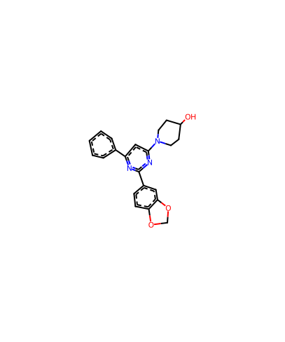 OC1CCN(c2cc(-c3ccccc3)nc(-c3ccc4c(c3)OCO4)n2)CC1